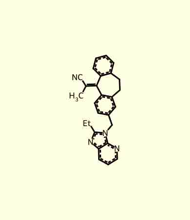 CCc1nc2cccnc2n1Cc1ccc2c(c1)CCc1ccccc1/C2=C(/C)C#N